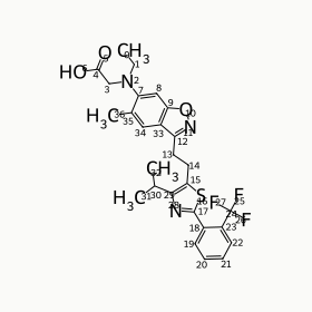 CCN(CC(=O)O)c1cc2onc(CCc3sc(-c4ccccc4C(F)(F)F)nc3C(C)C)c2cc1C